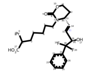 CC(C)C(CCCCCN1C(=O)OCC[C@@H]1/C=C/[C@@H](O)C(F)(F)c1ccccc1)C(=O)O